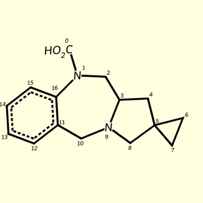 O=C(O)N1CC2CC3(CC3)CN2Cc2ccccc21